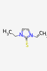 C=Cn1ccn(CC)c1=S